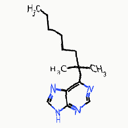 CCCCCCC(C)(C)c1ncnc2[nH]cnc12